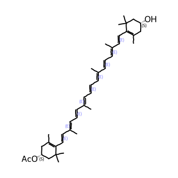 CC(=O)O[C@@H]1CC(C)=C(/C=C/C(C)=C/C=C/C(C)=C/C=C/C=C(C)/C=C/C=C(C)/C=C/C2=C(C)C[C@@H](O)CC2(C)C)C(C)(C)C1